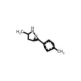 Cc1ccc(C2=C3CC(C)NN32)cc1